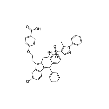 Cc1c(S(=O)(=O)NCCc2c(CCOc3ccc(C(=O)O)cc3)c3cc(Cl)ccc3n2C(c2ccccc2)c2ccccc2)cnn1-c1ccccc1